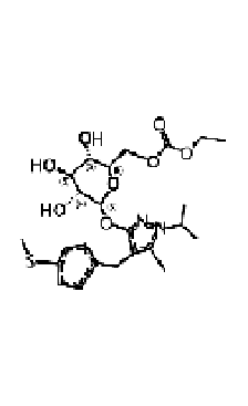 CCOC(=O)OC[C@H]1O[C@@H](Oc2nn(C(C)C)c(C)c2Cc2ccc(SC)cc2)[C@H](O)[C@@H](O)[C@@H]1O